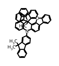 CC1(C)c2ccccc2-c2ccc(N(c3ccc4c(oc5ccccc54)c3C3(C)c4ccccc4-c4ccccc43)c3cccc4c3sc3ccccc34)cc21